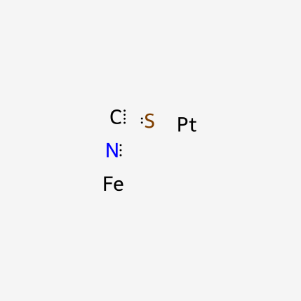 [C].[Fe].[N].[Pt].[S]